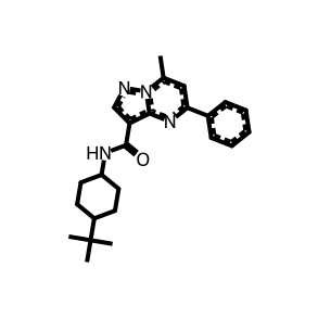 Cc1cc(-c2ccccc2)nc2c(C(=O)NC3CCC(C(C)(C)C)CC3)cnn12